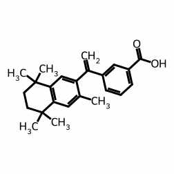 C=C(c1cccc(C(=O)O)c1)c1cc2c(cc1C)C(C)(C)CCC2(C)C